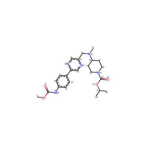 COC(=O)Nc1ccc(-c2cnc(CN(C)C3CCN(C(=O)OC(C)C)CC3)cn2)cc1